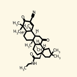 CCNC(=O)C[C@]12CCC(C)(C)C[C@H]1[C@H]1C(=O)C[C@@H]3[C@@]4(C)C=C(C#N)C(=O)C(C)(C)[C@@H]4CC[C@@]3(C)[C@]1(C)CC2